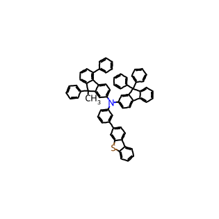 CC1(c2ccccc2)c2cc(N(c3cccc(-c4ccc5c(c4)sc4ccccc45)c3)c3ccc4c(c3)C(c3ccccc3)(c3ccccc3)c3ccccc3-4)ccc2-c2c(-c3ccccc3)cccc21